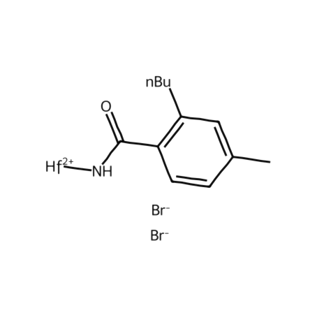 CCCCc1cc(C)ccc1C(=O)[NH][Hf+2].[Br-].[Br-]